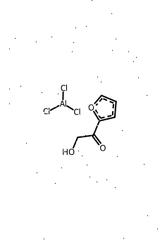 O=C(CO)c1ccco1.[Cl][Al]([Cl])[Cl]